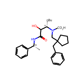 CCCC[C@@H](C(O)C(=O)N[C@H](C)c1ccccc1)N(CC1(Cc2ccccc2)CCCC1)C(=O)O